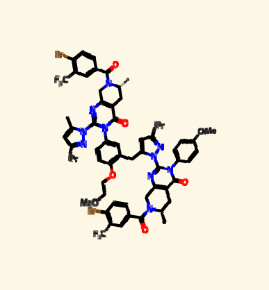 COCCOc1ccc(-n2c(-n3nc(C(C)C)cc3C)nc3c(c2=O)C[C@@H](C)N(C(=O)c2ccc(Br)c(C(F)(F)F)c2)C3)cc1Cc1cc(C(C)C)nn1-c1nc2c(c(=O)n1-c1ccc(OC)cc1)C[C@@H](C)N(C(=O)c1ccc(Br)c(C(F)(F)F)c1)C2